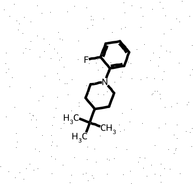 CC(C)(C)C1CCN(c2ccccc2F)CC1